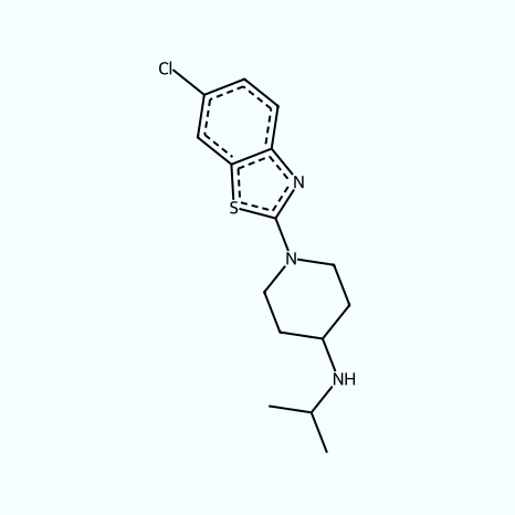 CC(C)NC1CCN(c2nc3ccc(Cl)cc3s2)CC1